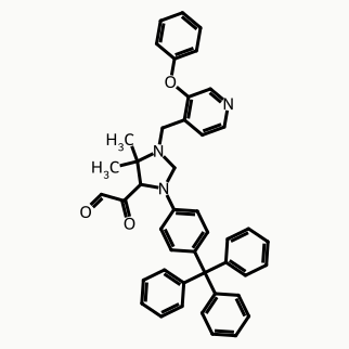 CC1(C)C(C(=O)C=O)N(c2ccc(C(c3ccccc3)(c3ccccc3)c3ccccc3)cc2)CN1Cc1ccncc1Oc1ccccc1